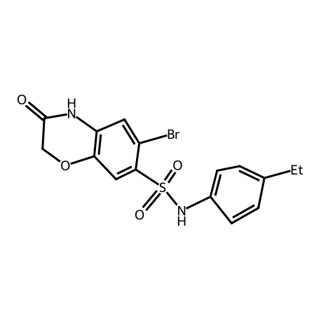 CCc1ccc(NS(=O)(=O)c2cc3c(cc2Br)NC(=O)CO3)cc1